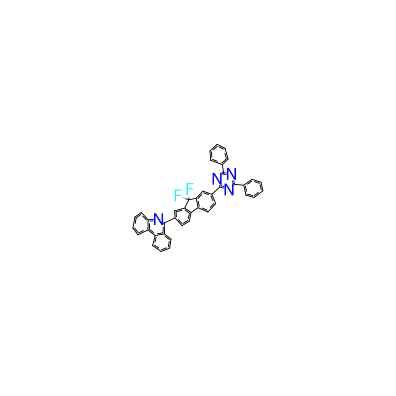 FC1(F)c2cc(-c3nc(-c4ccccc4)nc(-c4ccccc4)n3)ccc2-c2ccc(-c3nc4ccccc4c4ccccc34)cc21